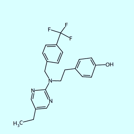 CCc1cnc(N(CCc2ccc(O)cc2)Cc2ccc(C(F)(F)F)cc2)nc1